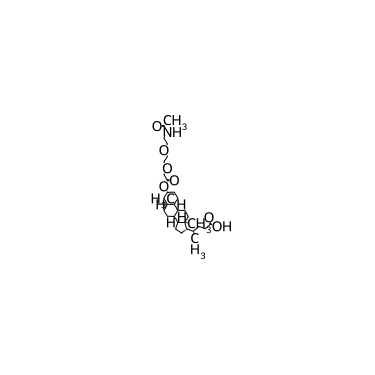 CC(=O)NCCOCCOCC(=O)O[C@H]1CC[C@@]2(C)[C@H](CC[C@@H]3[C@@H]2CC[C@]2(C)[C@@H]([C@H](C)CCC(=O)O)CC[C@@H]32)C1